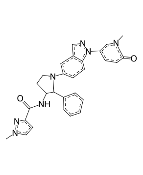 Cn1ccc(C(=O)NC2CCN(c3ccc4c(cnn4-c4ccc(=O)n(C)c4)c3)C2c2ccccc2)n1